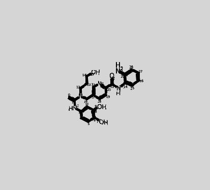 C=C(Nc1ccc(O)c(O)c1)N(CCCO)Cc1ccc(C(=O)Nc2ccccc2N)nc1